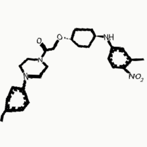 Cc1ccc(N2CCN(C(=O)CO[C@H]3CC[C@H](Nc4ccc([N+](=O)[O-])c(C)c4)CC3)CC2)cc1